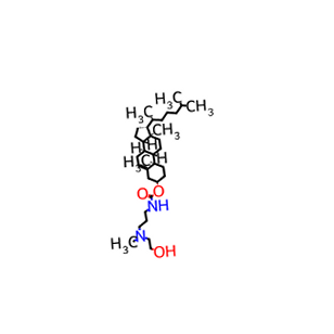 CC(C)CCC[C@@H](C)[C@H]1CC[C@H]2[C@@H]3CC=C4C[C@@H](OC(=O)NCCCN(C)CCO)CC[C@]4(C)[C@H]3CC[C@]12C